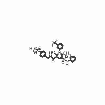 Cc1c(S(=O)(=O)Nc2ccccc2)cc(C(=O)NCc2ccc(S(C)(=O)=O)cc2)c(=O)n1-c1cccc(C(F)(F)F)c1